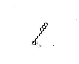 CCCCCCCCCc1[c]c2cc3ccccc3cc2cc1